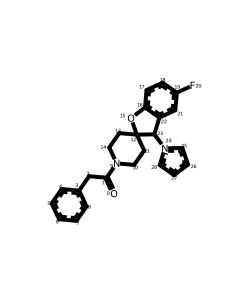 O=C(Cc1ccccc1)N1CCC2(CC1)Oc1ccc(F)cc1C2n1cccc1